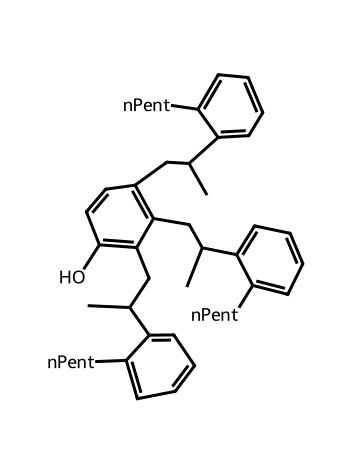 CCCCCc1ccccc1C(C)Cc1ccc(O)c(CC(C)c2ccccc2CCCCC)c1CC(C)c1ccccc1CCCCC